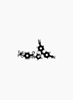 N#Cc1ccc(C(c2ccc(C#N)cc2)N2CC[C@@H](NC(=O)c3ccc(OC(F)(F)F)cc3)C2)cc1